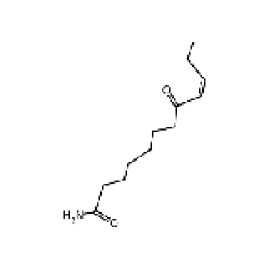 CC/C=C\C(=O)CCCCCCC(N)=O